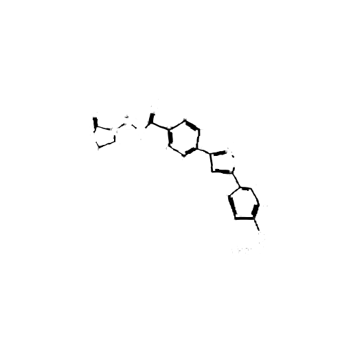 CCCCCOc1ccc(-c2cc(-c3ccc(C(=O)O[PH](=O)N4CCOC4=O)cc3)no2)cc1